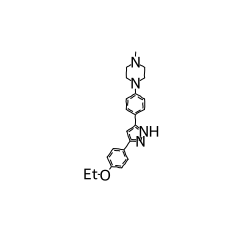 CCOc1ccc(-c2cc(-c3ccc(N4CCN(C)CC4)cc3)[nH]n2)cc1